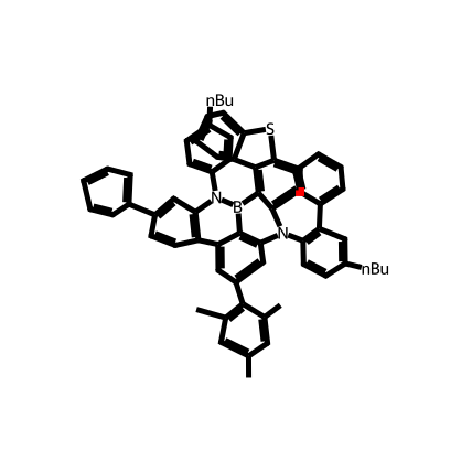 CCCCc1ccc(N2B3c4c(cc(-c5c(C)cc(C)cc5C)cc4N(c4ccc(CCCC)cc4-c4ccccc4)c4ccc5sc6ccccc6c5c43)-c3ccc(-c4ccccc4)cc32)cc1